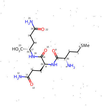 CSCC[C@H](N)C(=O)N[C@@H](CCC(N)=O)C(=O)N[C@@H](CCC(N)=O)C(=O)O